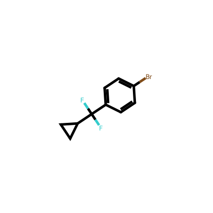 FC(F)(c1ccc(Br)cc1)C1CC1